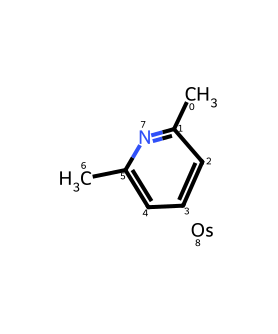 Cc1cccc(C)n1.[Os]